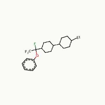 CCC1CCC(C2CCC(C(F)(Oc3ccccc3)C(F)(F)F)CC2)CC1